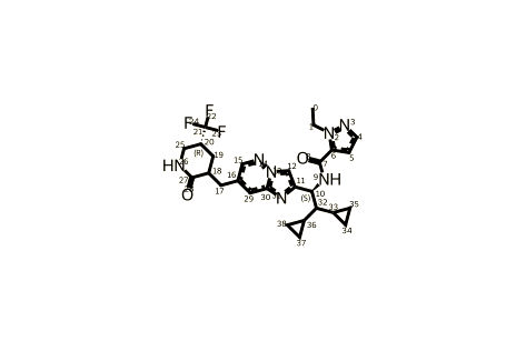 CCn1nccc1C(=O)N[C@H](c1cn2ncc(CC3C[C@@H](C(F)(F)F)CNC3=O)cc2n1)C(C1CC1)C1CC1